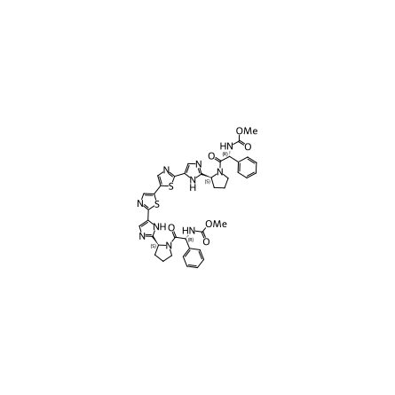 COC(=O)N[C@@H](C(=O)N1CCC[C@H]1c1ncc(-c2ncc(-c3cnc(-c4cnc([C@@H]5CCCN5C(=O)[C@H](NC(=O)OC)c5ccccc5)[nH]4)s3)s2)[nH]1)c1ccccc1